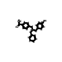 O=C(O)c1ccc(CN(CC2=CCCC=C2)Cc2ccc(F)cc2)cc1